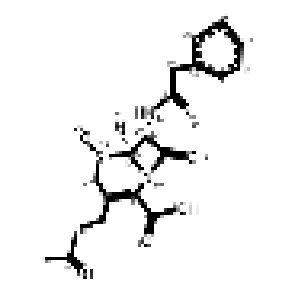 CC(=O)OCC1=C(C(=O)O)N2C(=O)[C@@H](NC(=O)Cc3ccccc3)[C@@H]2[S+]([O-])C1